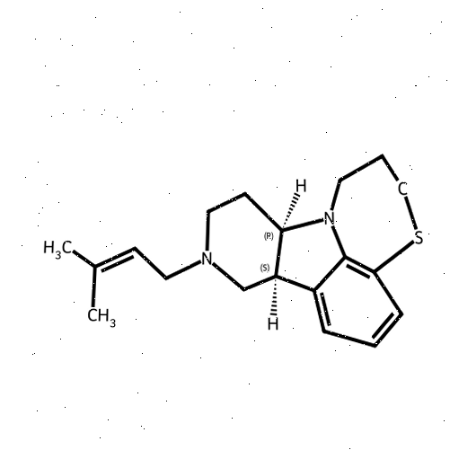 CC(C)=CCN1CC[C@@H]2[C@H](C1)c1cccc3c1N2CCCS3